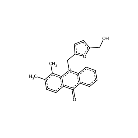 Cc1ccc2c(=O)c3ccccc3n(Cc3ccc(CO)o3)c2c1C